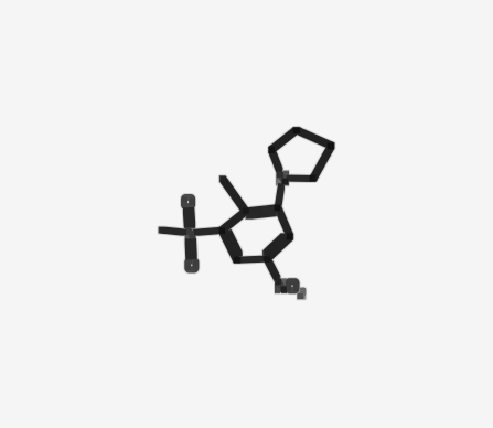 Cc1c(N2CCCC2)cc([N+](=O)[O-])cc1S(C)(=O)=O